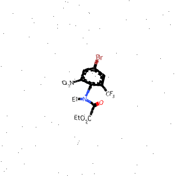 CCOC(=O)C(=O)N(CC)c1c([N+](=O)[O-])cc(Br)cc1C(F)(F)F